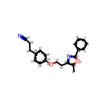 Cc1oc(-c2ccccc2)nc1CCOc1ccc(CCC#N)cc1